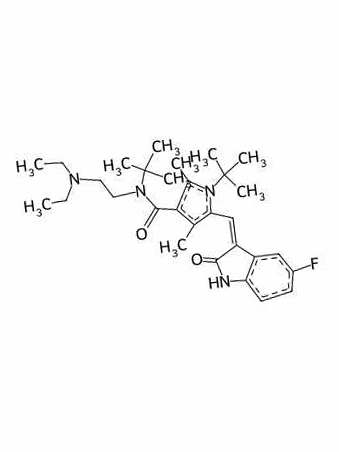 CCN(CC)CCN(C(=O)c1c(C)c(/C=C2\C(=O)Nc3ccc(F)cc32)n(C(C)(C)C)c1C)C(C)(C)C